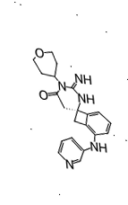 N=C1N[C@]2(CC(=O)N1C1CCOCC1)Cc1c(Nc3cccnc3)cccc12